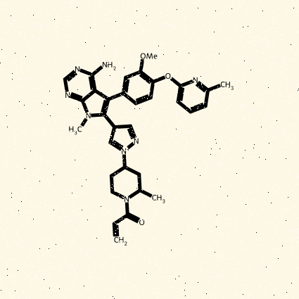 C=CC(=O)N1CCC([N+]2=CC(c3c(-c4ccc(Oc5cccc(C)n5)c(OC)c4)c4c(N)ncnc4n3C)C=N2)CC1C